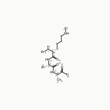 CCNCCCC[C@@H](NC(C)C)C(=O)N[C@H](C(=O)N[C@@H](C)C(=O)CC)C(C)C